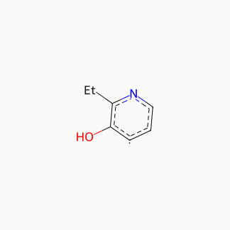 CCc1ncc[c]c1O